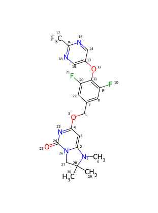 CN1c2cc(OCc3cc(F)c(Oc4cnc(C(F)(F)F)nc4)c(F)c3)nc(=O)n2CC1(C)C